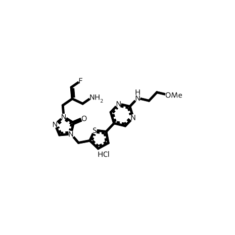 COCCNc1ncc(-c2ccc(Cn3cnn(C/C(=C/F)CN)c3=O)s2)cn1.Cl